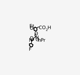 CCCON=C(COc1cc(CC(=O)O)cc(OCC)c1)c1cc(-c2ccc(F)cc2)no1